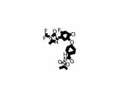 Cc1nn(-c2cc(Oc3ccc(C(=O)NS(=O)(=O)C(C)C)cc3)c(Cl)cc2F)c(=O)n1C(F)F